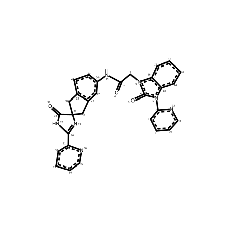 O=C(Cn1c(=O)n(-c2ccccn2)c2ccccc21)Nc1ccc2c(c1)CC1(C2)N=C(c2ccccn2)NC1=O